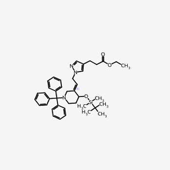 CCOC(=O)CCc1cnn(C/C=C2\CN(C(c3ccccc3)(c3ccccc3)c3ccccc3)CCC2O[Si](C)(C)C(C)(C)C)c1